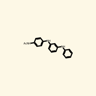 CC(=O)Nc1ccc(Nc2cccc(Nc3ccccc3)c2)cc1